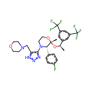 C[C@@H](O[C@@]1(C)OCCN(c2nn[nH]c2CN2CCOCC2)[C@H]1c1ccc(F)cc1)c1cc(C(F)(F)F)cc(C(F)(F)F)c1